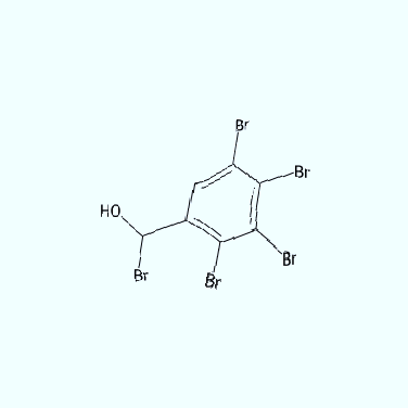 OC(Br)c1cc(Br)c(Br)c(Br)c1Br